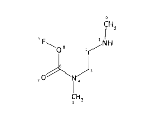 CNCCN(C)C(=O)OF